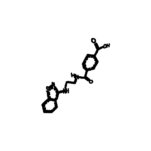 O=C(O)c1ccc(C(=O)NCCNc2nsc3ccccc23)cc1